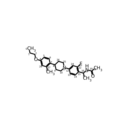 CCCOc1ccc(C2CCN(c3ccc(C(C)NC(C)=O)c(F)c3)CC2)c(C)c1